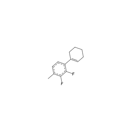 Cc1ccc(C2=CCCCC2)c(F)c1F